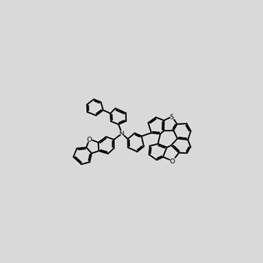 c1ccc(-c2cccc(N(c3cccc(-c4ccc5sc6ccc7ccc8oc9cccc%10c9c8c7c6c5c4-%10)c3)c3ccc4c(c3)oc3ccccc34)c2)cc1